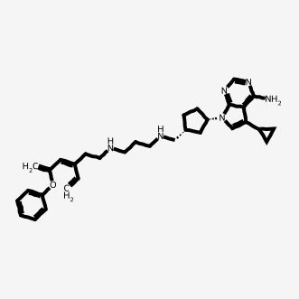 C=C/C(=C\C(=C)Oc1ccccc1)CCNCCCNC[C@@H]1CC[C@H](n2cc(C3CC3)c3c(N)ncnc32)C1